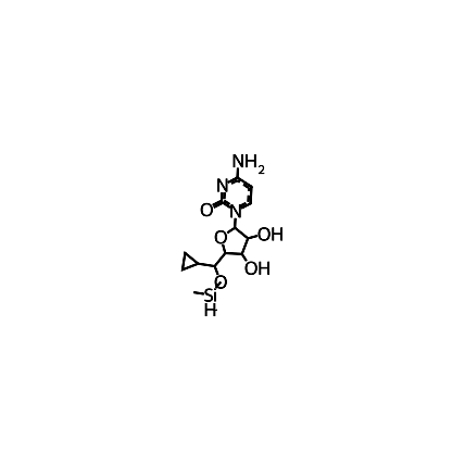 C[SiH](C)OC(C1CC1)C1OC(n2ccc(N)nc2=O)C(O)C1O